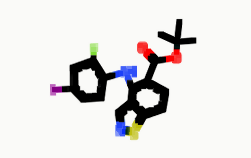 CC(C)(C)OC(=O)c1ccc2sncc2c1Nc1ccc(I)cc1F